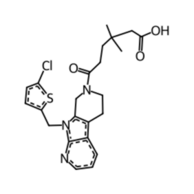 CC(C)(CCC(=O)N1CCc2c(n(Cc3ccc(Cl)s3)c3ncccc23)C1)CC(=O)O